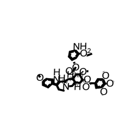 CCOc1ccccc1N.COC(=O)[C@H]1[C@H]2C[C@@H]3c4[nH]c5cc(OC)ccc5c4CCN3C[C@H]2C[C@@H](OC(=O)c2cc(OC)c(OC)c(OC)c2)[C@@H]1OC